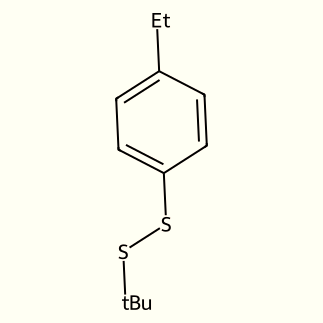 CCc1ccc(SSC(C)(C)C)cc1